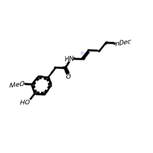 CCCCCCCCCCCC/C=C/NC(=O)Cc1ccc(O)c(OC)c1